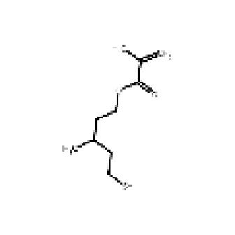 C=C(C)C(=O)OCCC(C)CCS